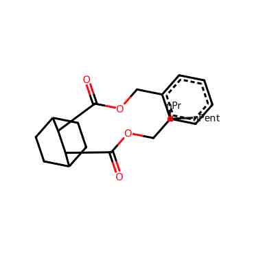 CCCCCC(CCC)COC(=O)C1C2CCC(CC2)C1C(=O)OCc1ccccc1